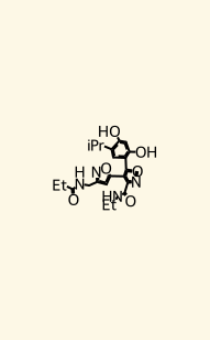 CCNC(=O)c1noc(-c2cc(C(C)C)c(O)cc2O)c1-c1cc(CNC(=O)CC)no1